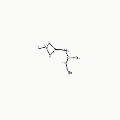 CN1CC(NC(=O)OC(C)(C)C)C1